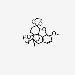 COc1ccc2c3c1OC1C4(CCC5(O)[C@@H](C2)N(C)CC[C@]315)OCCO4